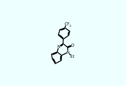 CCn1c(=O)c(-c2ccc(C(F)(F)F)cc2)nc2ccccc21